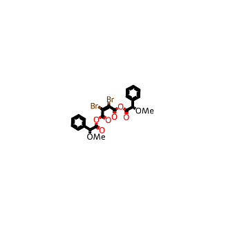 COC(C(=O)OC(=O)/C(Br)=C(/Br)C(=O)OC(=O)C(OC)c1ccccc1)c1ccccc1